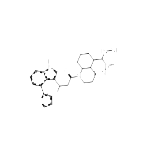 CC(CC(=O)N1CCCC2C(C(NN)N(C)N)CCCC21)c1c[nH]c2cccc(-c3ccco3)c12